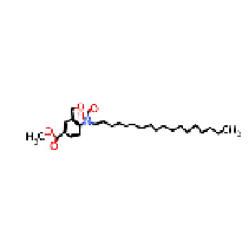 CCCCCCCCCCCCCCCCCCN(C=O)c1ccc(C(=O)OC)cc1CO